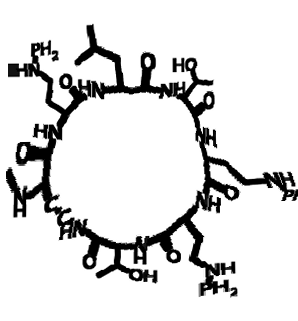 CNC1CCNC(=O)C(C(C)O)NC(=O)C(CCNP)NC(=O)C(CCNP)NC(=O)C(C(C)O)NC(=O)C(CC(C)C)NC(=O)C(CCNP)NC1=O